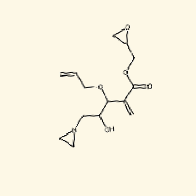 C=CCOC(C(=C)C(=O)OCC1CO1)C(O)CN1CC1